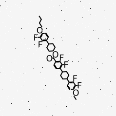 CCCCOc1ccc(C2CCC(OC(=O)c3ccc(C4CCC(c5ccc(OCC)c(F)c5F)CC4)c(F)c3F)CC2)c(F)c1F